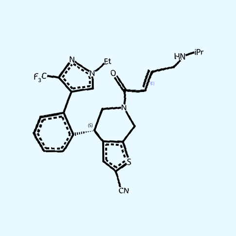 CCn1cc(-c2ccccc2[C@@H]2CN(C(=O)/C=C/CNC(C)C)Cc3sc(C#N)cc32)c(C(F)(F)F)n1